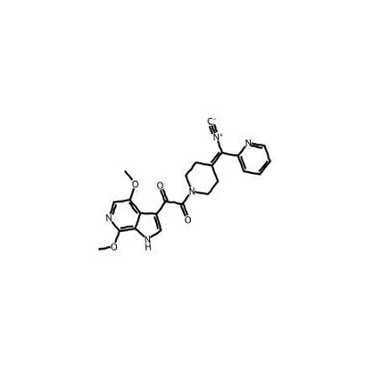 [C-]#[N+]C(=C1CCN(C(=O)C(=O)c2c[nH]c3c(OC)ncc(OC)c23)CC1)c1ccccn1